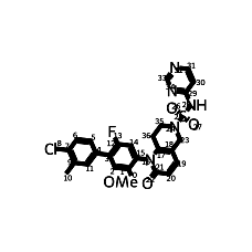 COc1cc(-c2ccc(Cl)c(C)c2)c(F)cc1-n1c2c(ccc1=O)CN(S(=O)(=O)Nc1ccncn1)CC2